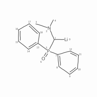 [Li][CH](N(C)C)P(=O)(c1ccccc1)c1ccccc1